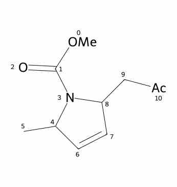 COC(=O)N1C(C)C=CC1CC(C)=O